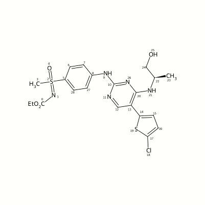 CCOC(=O)N=S(C)(=O)c1ccc(Nc2ncc(-c3ccc(Cl)s3)c(N[C@H](C)CO)n2)cc1